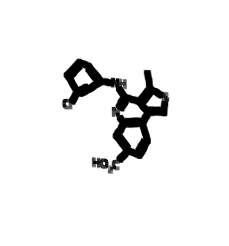 Cc1scc2c1c(Nc1cccc(Cl)c1)nc1cc(C(=O)O)ccc12